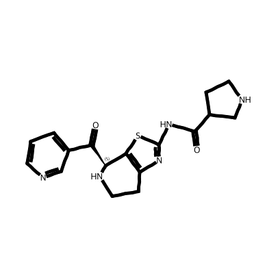 O=C(Nc1nc2c(s1)[C@H](C(=O)c1cccnc1)NCC2)C1CCNC1